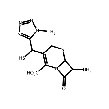 Cn1nnnc1C(S)C1=C(C(=O)O)N2C(=O)C(N)C2SC1